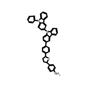 Nc1ccc(C2CCC(c3ccc(-c4ccc5c(c4)c4ccccc4n5-c4ccc5c(c4)c4ccccc4n5-c4ccccc4)cc3)S2)cc1